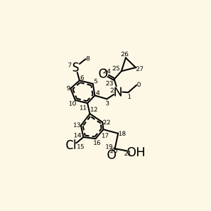 CCN(Cc1cc(SC)ccc1-c1cc(Cl)cc(CC(=O)O)c1)C(=O)C1CC1